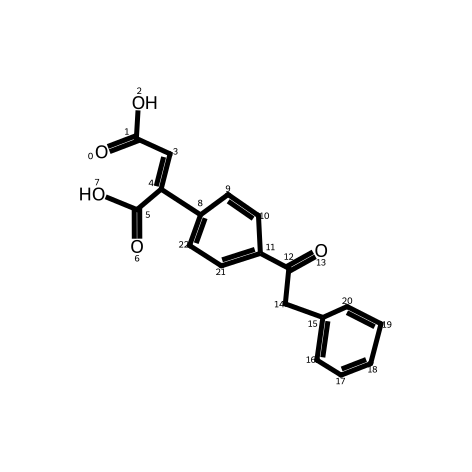 O=C(O)C=C(C(=O)O)c1ccc(C(=O)Cc2ccccc2)cc1